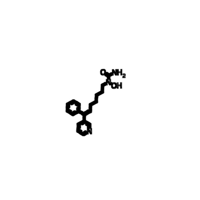 NC(=O)N(O)CCCCC/C=C(\c1ccccc1)c1cccnc1